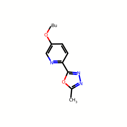 CCC(C)Oc1ccc(-c2nnc(C)o2)nc1